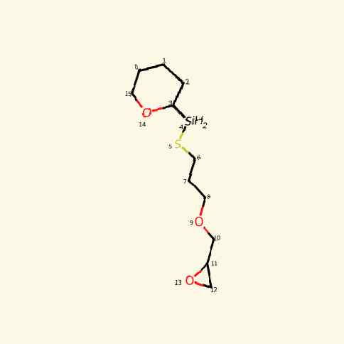 C1CCC([SiH2]SCCCOCC2CO2)OC1